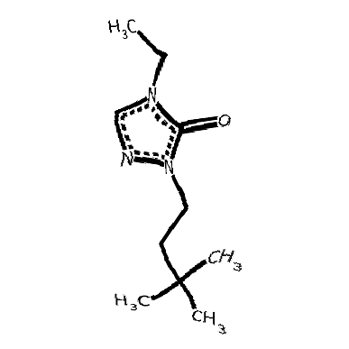 CCn1cnn(CCC(C)(C)C)c1=O